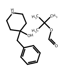 CC(C)(C)OC=O.OC1(Cc2ccccc2)CCNCC1